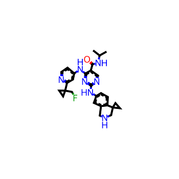 CC(C)NC(=O)c1cnc(Nc2ccc3c(c2)CNCC32CC2)nc1Nc1ccnc(C2(CF)CC2)c1